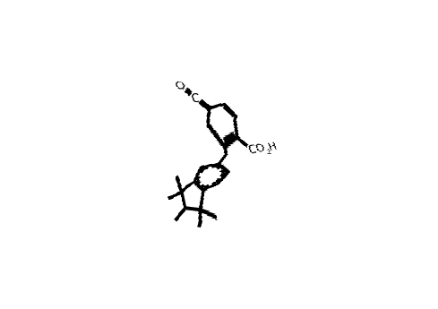 CC1C(C)(C)c2ccc(C3=C(C(=O)O)C=CC(=C=O)C3)cc2C1(C)C